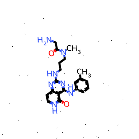 Cc1cccc(Nc2nc(NCCCN(C)C(=O)CN)nc3cc[nH]c(=O)c23)c1